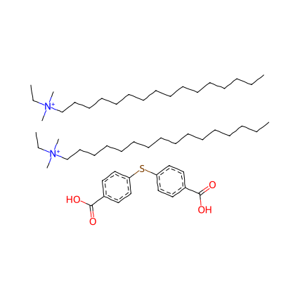 CCCCCCCCCCCCCCCC[N+](C)(C)CC.CCCCCCCCCCCCCCCC[N+](C)(C)CC.O=C(O)c1ccc(Sc2ccc(C(=O)O)cc2)cc1